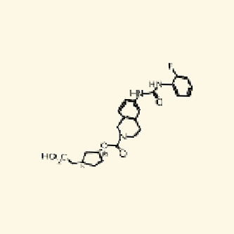 O=C(O)C[C@@H]1CC[C@@H](OC(=O)N2CCc3cc(NC(=O)Nc4ccccc4F)ccc3C2)C1